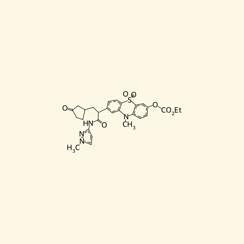 CCOC(=O)Oc1ccc2c(c1)S(=O)(=O)c1ccc(C(CC3CCC(=O)C3)C(=O)Nc3ccn(C)n3)cc1N2C